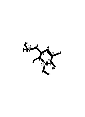 CCNC(C)C(/C=C(/C)CC)CNC